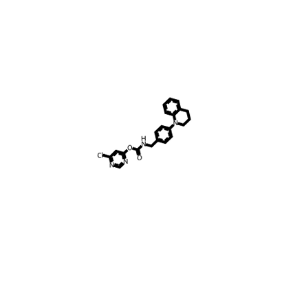 O=C(NCc1ccc(N2CCCc3ccccc32)cc1)Oc1cc(Cl)ncn1